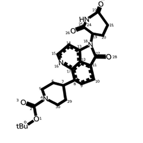 CC(C)(C)OC(=O)N1CCC(c2ccc3c4c(ccnc24)N(C2CCC(=O)NC2=O)C3=O)CC1